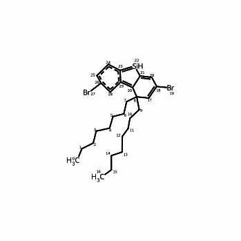 CCCCCCCCC1(CCCCCCCC)C=C(Br)C=C2[SiH]=c3ccc(Br)cc3=C21